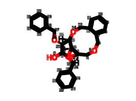 OC1O[C@@H]2COCc3ccccc3CO[C@@H]([C@@H]2OCc2ccccc2)[C@H]1OCc1ccccc1